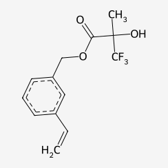 C=Cc1cccc(COC(=O)C(C)(O)C(F)(F)F)c1